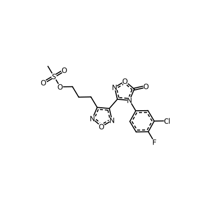 CS(=O)(=O)OCCCc1nonc1-c1noc(=O)n1-c1ccc(F)c(Cl)c1